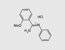 COc1ccccc1/C(N)=N/c1ccccc1.Cl